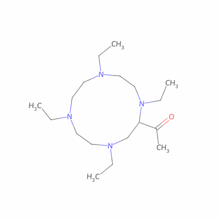 CCN1CCN(CC)CCN(CC)C(C(C)=O)CN(CC)CC1